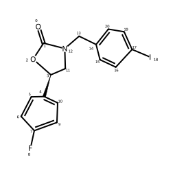 O=C1O[C@H](c2ccc(F)cc2)CN1Cc1ccc(I)cc1